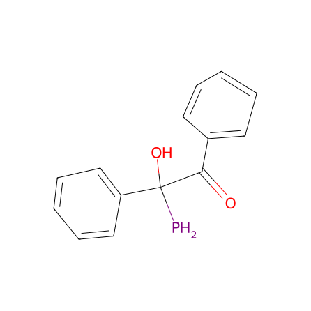 O=C(c1ccccc1)C(O)(P)c1ccccc1